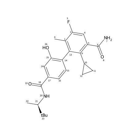 Cc1c(F)cc(C(N)=O)c(C2CC2)c1-c1ccc(C(=O)N[C@H](C)C(C)(C)C)cc1O